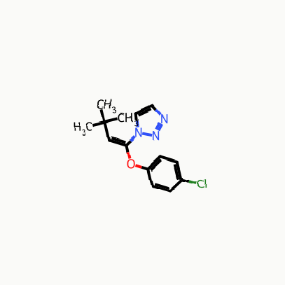 CC(C)(C)C=C(Oc1ccc(Cl)cc1)n1ccnn1